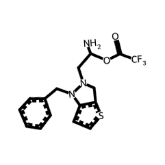 NC(CN1Cc2sccc2N1Cc1ccccc1)OC(=O)C(F)(F)F